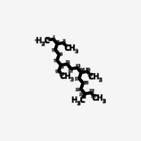 [CH2]CC(CC)CCCC(CC)CCCC(CC)CCCC(C)CC